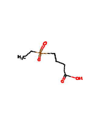 CCS(=O)(=O)CCCC(=O)O